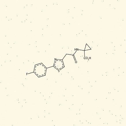 O=C(Cc1csc(-c2ccc(F)cc2)n1)NC1(C(=O)O)CC1